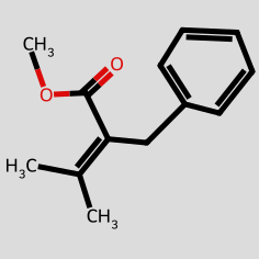 COC(=O)C(Cc1ccccc1)=C(C)C